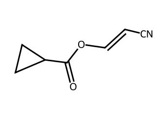 N#CC=COC(=O)C1CC1